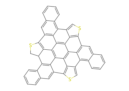 c1ccc2c3c4c(cc2c1)c1scc2c5c6ccccc6cc6c7scc8c9c%10ccccc%10cc%10c%11c(c%12c4c(c21)c(c65)c(c87)c%12c%109)C3CS%11